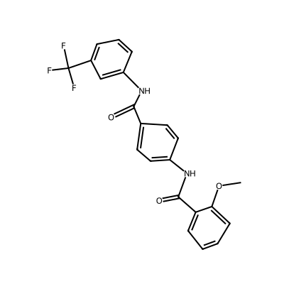 COc1ccccc1C(=O)Nc1ccc(C(=O)Nc2cccc(C(F)(F)F)c2)cc1